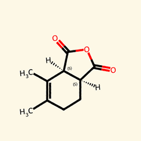 CC1=C(C)[C@H]2C(=O)OC(=O)[C@H]2CC1